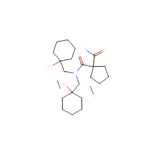 CC(C)C[C@@H](N(C(=O)C1(C(N)=O)CCCC1)[C@H](CC(C)C)C1(O)CCCCC1)C1(O)CCCCC1